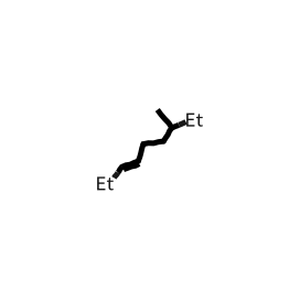 [CH2]CC=CCCC(C)CC